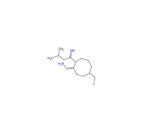 CC(C)CC(=N)C1CCCC(CF)CC/C1=C/N